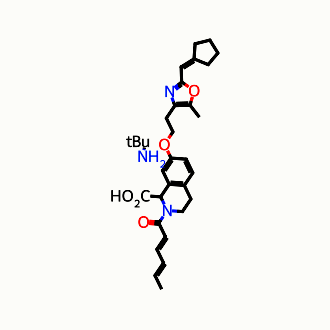 CC(C)(C)N.CC=CC=CC(=O)N1CCc2ccc(OCCc3nc(C=C4CCCC4)oc3C)cc2C1C(=O)O